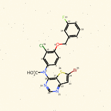 O=C(O)N(c1ccc(OCc2cccc(F)c2)c(Cl)c1)c1ncnc2cc(Br)sc12